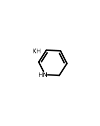 C1=CCNC=C1.[KH]